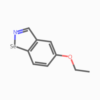 CCOc1ccc2[se]ncc2c1